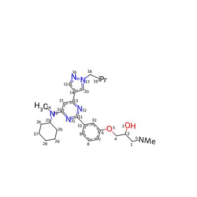 CNCC(O)COc1cccc(-c2nc(-c3cnn(CC(C)C)c3)cc(N(C)C3CCCCC3)n2)c1